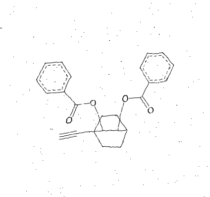 C#CC12CCC(CC1)C(OC(=O)c1ccccc1)C2OC(=O)c1ccccc1